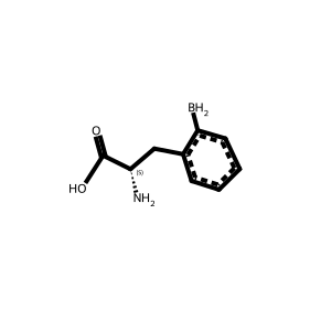 Bc1ccccc1C[C@H](N)C(=O)O